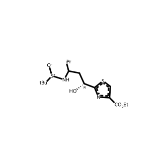 CCOC(=O)c1csc([C@H](O)CC(N[S+]([O-])C(C)(C)C)C(C)C)n1